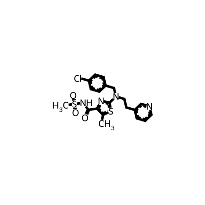 Cc1sc(N(CCc2cccnc2)Cc2ccc(Cl)cc2)nc1C(=O)NS(C)(=O)=O